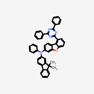 CC1(C)c2ccccc2-c2ccc(N(c3ccccc3)c3ccc4c(c3)oc3cccc(-c5nc(-c6ccccc6)nc(-c6ccccc6)n5)c34)cc21